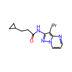 CC(C)c1c(NC(=O)CCC2CC2)nn2cccnc12